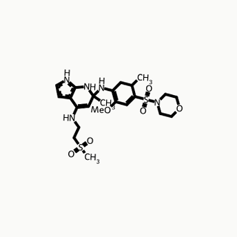 COC1=C(NC2(C)C=C(NCCS(C)(=O)=O)c3cc[nH]c3N2)CC(C)C(S(=O)(=O)N2CCOCC2)=C1